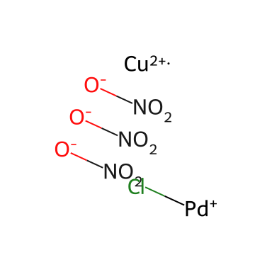 O=[N+]([O-])[O-].O=[N+]([O-])[O-].O=[N+]([O-])[O-].[Cl][Pd+].[Cu+2]